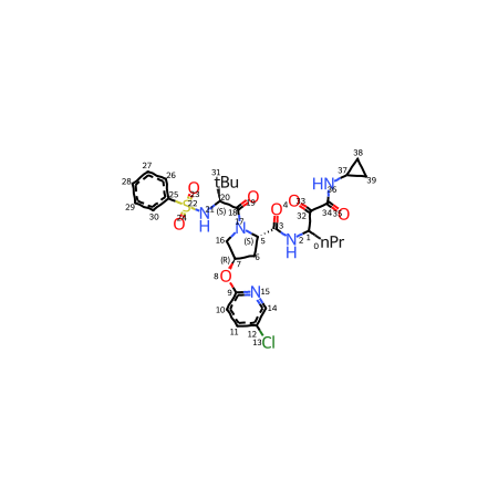 CCCC(NC(=O)[C@@H]1C[C@@H](Oc2ccc(Cl)cn2)CN1C(=O)[C@@H](NS(=O)(=O)c1ccccc1)C(C)(C)C)C(=O)C(=O)NC1CC1